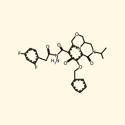 CC(C)N1CC2COCc3c(C(=O)N(N)C(=O)Cc4ccc(F)cc4F)c(=O)c(OCc4ccccc4)c(n32)C1=O